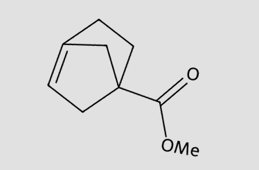 COC(=O)C12CC=C(CC1)C2